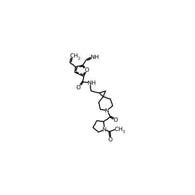 C=Cc1cc(C(=O)NCC2CC23CCN(C(=O)C2CCCN2C(C)=O)CC3)oc1C=N